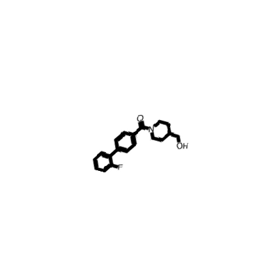 O=C(c1ccc(-c2ccccc2F)cc1)N1CCC(CO)CC1